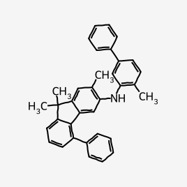 Cc1ccc(-c2ccccc2)cc1Nc1cc2c(cc1C)C(C)(C)c1cccc(-c3ccccc3)c1-2